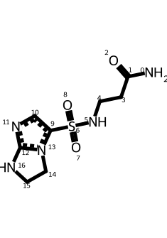 NC(=O)CCNS(=O)(=O)c1cnc2n1CCN2